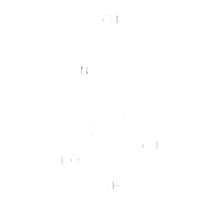 CCN1CCC(O)(C(C)C)CC1